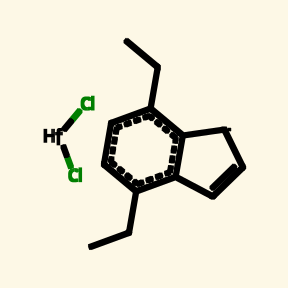 CCc1ccc(CC)c2c1[CH]C=C2.[Cl][Hf][Cl]